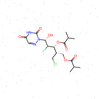 CC(C)C(=O)OC[C@H](CCl)[C@@H](OC(=O)C(C)C)[C@@H](F)[C@@H](O)n1ncc(=O)[nH]c1=O